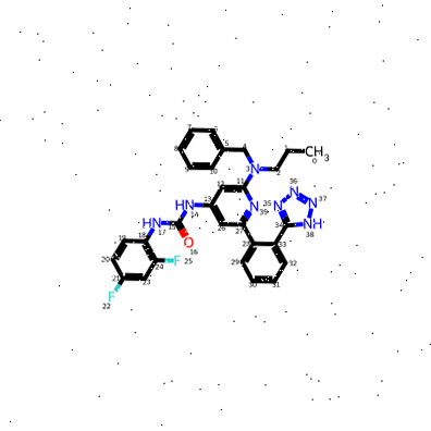 CCCN(Cc1ccccc1)c1cc(NC(=O)Nc2ccc(F)cc2F)cc(-c2ccccc2-c2nnn[nH]2)n1